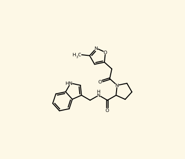 Cc1cc(CC(=O)N2CCCC2C(=O)NCc2c[nH]c3ccccc23)on1